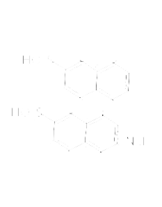 O=S(=O)(O)c1ccc2ccccc2c1.O=S(=O)(O)c1ccc2ccccc2c1.[NaH]